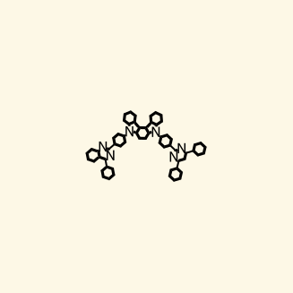 c1ccc(-c2cc(-c3ccccc3)nc(-c3ccc(-n4c5ccccc5c5c6c7ccccc7n(-c7ccc(-c8nc(-c9ccccc9)c9ccccc9n8)cc7)c6ccc54)cc3)n2)cc1